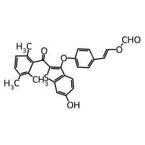 Cc1ccc(C)c(C(=O)c2sc3cc(O)ccc3c2Oc2ccc(/C=C/OC=O)cc2)c1C